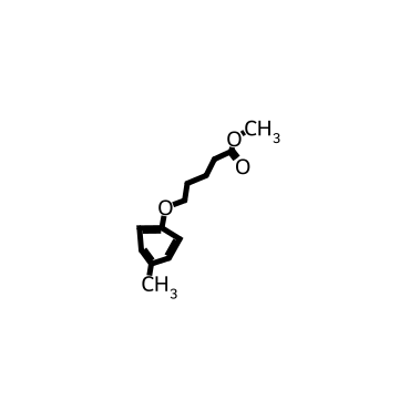 COC(=O)CCCCOc1ccc(C)cc1